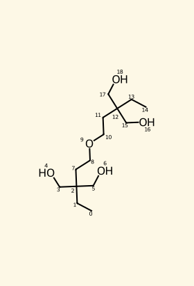 CCC(CO)(CO)CCOCCC(CC)(CO)CO